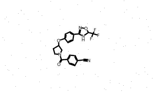 N#Cc1ccc(C(=O)N2CCC(Oc3ccc(C4=NOC(C(F)(F)F)N4)cc3)C2)cc1